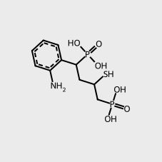 Nc1ccccc1C(CC(S)CP(=O)(O)O)P(=O)(O)O